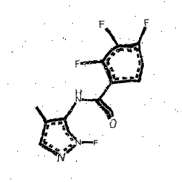 Cc1cnn(F)c1NC(=O)c1ccc(F)c(F)c1F